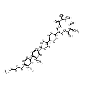 C=C(CO)C(=O)OCC(COC(O)C(=C)CO)C1CCC(C2CCC(c3ccc(-c4ccc(CCCCC)c(C)c4)c(C)c3)CC2)CC1